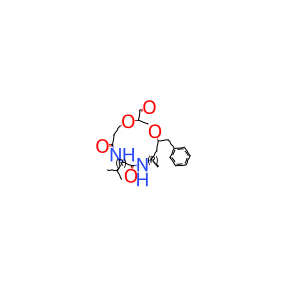 CC(C)[C@H]1NC(=O)CCOC(C=O)COC(Cc2ccccc2)C[C@@H](C)NC1=O